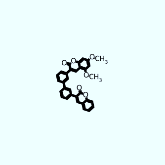 COc1cc(OC)c2cc(-c3cccc(-c4cccc(-c5cc6ccccc6oc5=O)c4)c3)c(=O)oc2c1